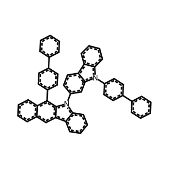 c1ccc(-c2ccc(-c3c4ccccc4cc4c5ccccc5n(-c5ccc6c7ccccc7n(-c7ccc(-c8ccccc8)cc7)c6c5)c34)cc2)cc1